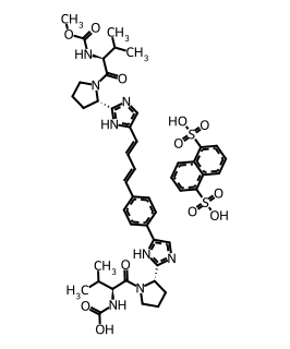 COC(=O)N[C@H](C(=O)N1CCC[C@H]1c1ncc(C=CC=Cc2ccc(-c3cnc([C@@H]4CCCN4C(=O)[C@@H](NC(=O)O)C(C)C)[nH]3)cc2)[nH]1)C(C)C.O=S(=O)(O)c1cccc2c(S(=O)(=O)O)cccc12